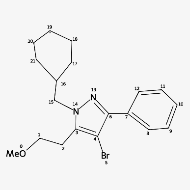 COCCc1c(Br)c(-c2ccccc2)nn1CC1CC[CH]CC1